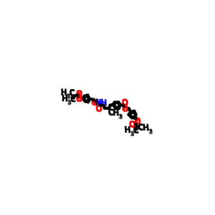 CC(CCC(=O)NOCc1ccc(OC(=O)C(C)C)cc1)Cc1ccc(C(=O)OCc2ccc(OC(=O)C(C)C)cc2)cc1